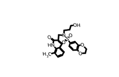 Cc1cccc2cc(CN(CCCO)S(=O)(=O)c3ccc4c(c3)OCCO4)c(=O)[nH]c12